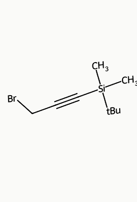 CC(C)(C)[Si](C)(C)C#CCBr